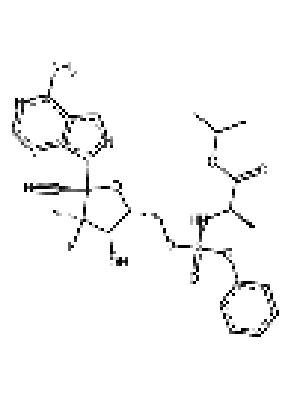 CC(C)OC(=O)[C@@H](C)N[P@@](=O)(OC[C@H]1O[C@@](C#N)(n2ncc3c(N)ncnc32)[C@](C)(F)[C@@H]1O)Oc1ccccc1